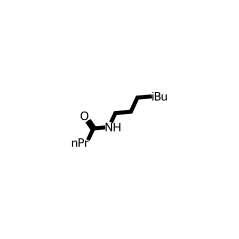 [CH2]CCC(=O)NCCCC(C)CC